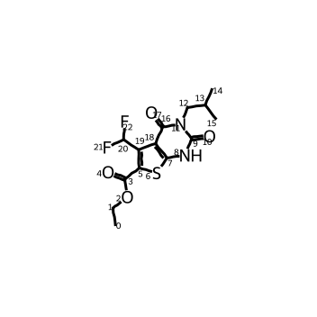 CCOC(=O)c1sc2[nH]c(=O)n(CC(C)C)c(=O)c2c1C(F)F